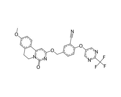 COc1ccc2c(c1)CCn1c-2cc(OCc2ccc(Oc3cnc(C(F)(F)F)nc3)c(C#N)c2)nc1=O